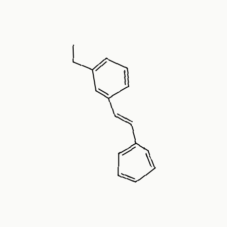 CCc1cccc(/C=C/c2ccccc2)c1